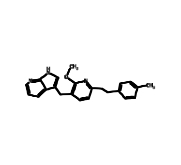 COc1nc(CCc2ccc(C)cc2)ccc1Cc1c[nH]c2ncccc12